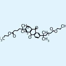 CCCOC(=O)CCCC(C)(C)c1ccc2c(c1)C(=O)c1ccc(C(C)(C)CCCC(=O)OCCC)cc1C2=O